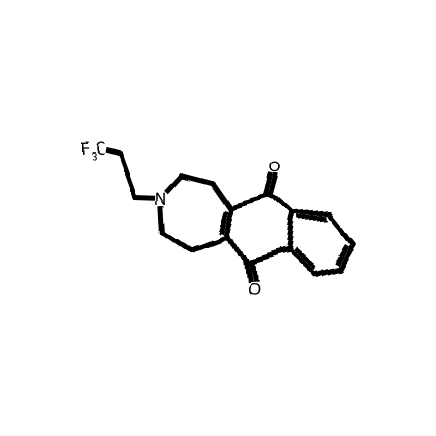 O=C1C2=C(CCN(CCC(F)(F)F)CC2)C(=O)c2ccccc21